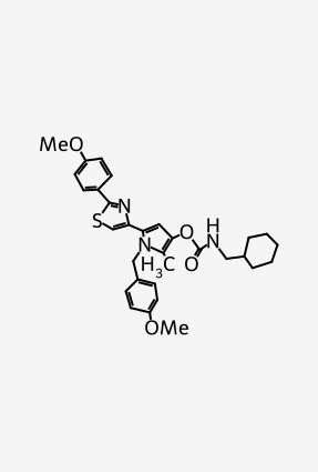 COc1ccc(Cn2c(-c3csc(-c4ccc(OC)cc4)n3)cc(OC(=O)NCC3CCCCC3)c2C)cc1